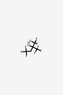 OC(CC(F)(F)F)(C(F)(F)F)C(F)(F)F